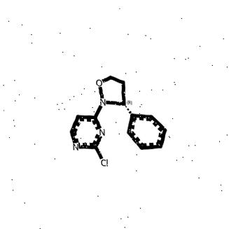 Clc1nccc(N2OCC[C@@H]2c2ccccc2)n1